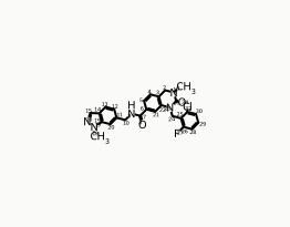 CN1Cc2ccc(C(=O)NCc3ccc4cnn(C)c4c3)cc2N(Cc2c(F)cccc2Cl)C1=O